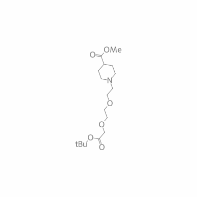 COC(=O)C1CCN(CCOCCOCC(=O)OC(C)(C)C)CC1